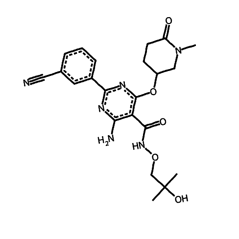 CN1CC(Oc2nc(-c3cccc(C#N)c3)nc(N)c2C(=O)NOCC(C)(C)O)CCC1=O